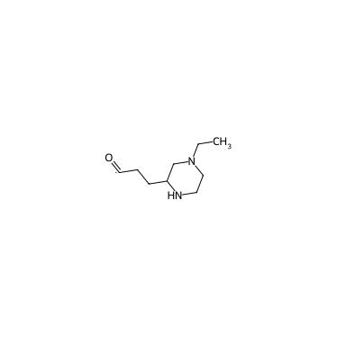 CCN1CCNC(CC[C]=O)C1